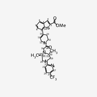 COC(=O)c1cc2cccc(C3=CCN(C(=O)CN4[C@H](C)CN(c5ccc(C(F)(F)F)cn5)C[C@@H]4C)CC3)c2s1